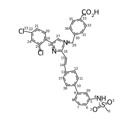 CS(=O)(=O)Nc1cccc(-c2ccc(C=Cc3nc(-c4ccc(Cl)cc4Cl)cn3Cc3ccc(C(=O)O)cc3)cc2)c1